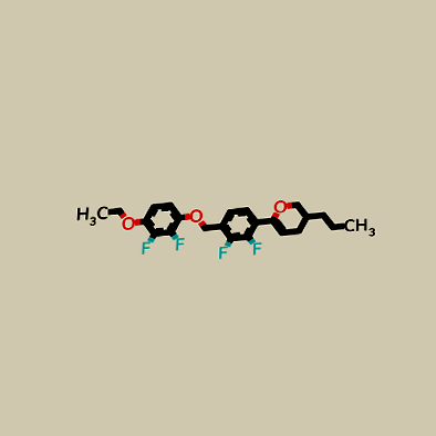 CCCC1CC=C(c2ccc(COc3ccc(OCC)c(F)c3F)c(F)c2F)OC1